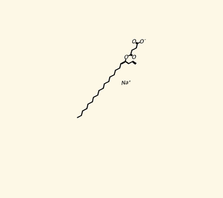 C=CC/C(=C\CCCCCCCCCCCCCCCC)OC(=O)CCC(=O)[O-].[Na+]